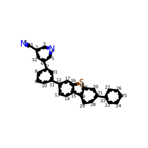 N#Cc1cncc(-c2cccc(-c3ccc4c(c3)sc3cc(-c5ccccc5)ccc34)c2)c1